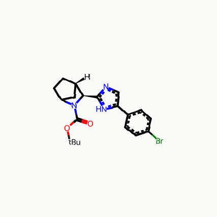 CC(C)(C)OC(=O)N1C2CC[C@@H](C2)[C@H]1c1ncc(-c2ccc(Br)cc2)[nH]1